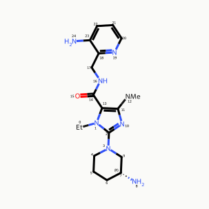 CCn1c(N2CCC[C@@H](N)C2)nc(NC)c1C(=O)NCc1ncccc1N